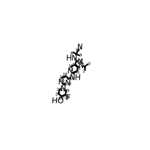 CC(C)n1nc(NC(C)(C)C#N)c2cnc(Nc3ccnc(N4CC[C@@H](O)[C@@H](F)C4)n3)cc21